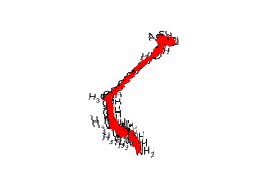 CC(=O)N1c2ccc(-c3ccc(C(=O)NCCOCCOCCOCCOCCOCCOCCOCCOCCNC(=O)c4nc(NC(=O)CCNC(=O)c5cc(NC(=O)c6nc(C(N)CCNC(=O)c7cc(Nc8nc(NCCCN)cn8C)cn7C)cn6C)cn5C)cn4C)cc3)cc2[C@H](Nc2ccc(Cl)cc2)C[C@@H]1C